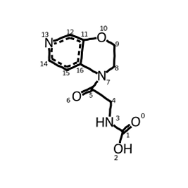 O=C(O)NCC(=O)N1CCOc2cnccc21